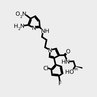 C[C@@H](O)CNC(=O)c1cn(CCCNc2ccc([N+](=O)[O-])c(N)n2)cc1-c1ccc(F)cc1Cl